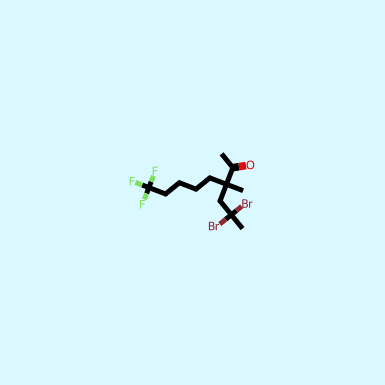 CC(=O)C(C)(CCCCC(F)(F)F)CC(C)(Br)Br